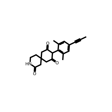 CC#Cc1cc(C)c(C2C(=O)CC3(CCNC(=O)C3)CC2=O)c(C)c1